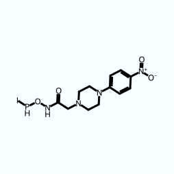 O=C(CN1CCN(c2ccc([N+](=O)[O-])cc2)CC1)NOPI